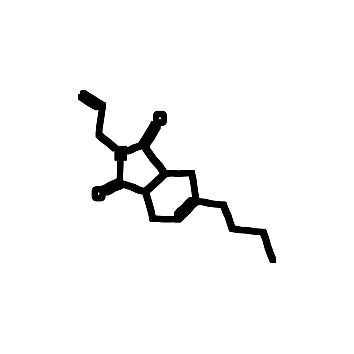 C=CCN1C(=O)C2CC=C(CCCC)CC2C1=O